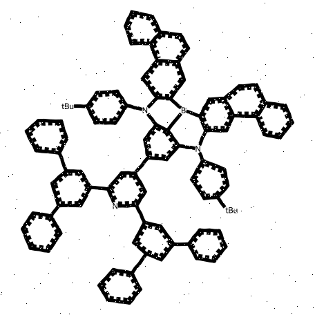 CC(C)(C)c1ccc(N2c3cc4c(ccc5ccccc54)cc3B3c4cc5ccc6ccccc6c5cc4N(c4ccc(C(C)(C)C)cc4)c4cc(-c5cc(-c6cc(-c7ccccc7)cc(-c7ccccc7)c6)nc(-c6cc(-c7ccccc7)cc(-c7ccccc7)c6)c5)cc2c43)cc1